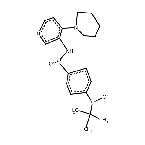 CC(C)(C)[S+]([O-])c1ccc([S+]([O-])Nc2cnccc2N2CCCCC2)cc1